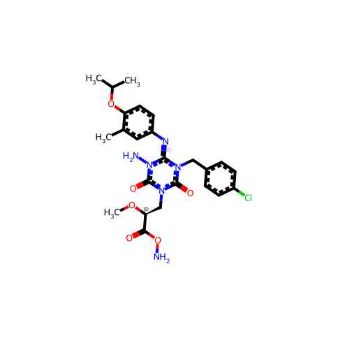 CO[C@@H](Cn1c(=O)n(N)/c(=N\c2ccc(OC(C)C)c(C)c2)n(Cc2ccc(Cl)cc2)c1=O)C(=O)ON